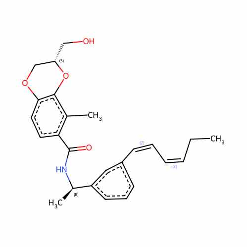 CC/C=C\C=C/c1cccc([C@@H](C)NC(=O)c2ccc3c(c2C)O[C@@H](CO)CO3)c1